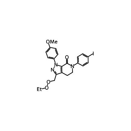 CCOOCc1nn(-c2ccc(OC)cc2)c2c1CCN(c1ccc(I)cc1)C2=O